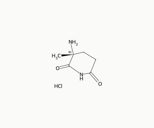 C[C@@]1(N)CCC(=O)NC1=O.Cl